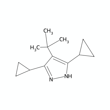 CC(C)(C)c1c(C2CC2)n[nH]c1C1CC1